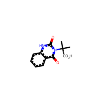 CC(C)(C(=O)O)n1c(=O)[nH]c2ccccc2c1=O